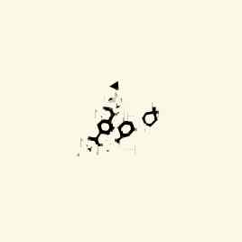 COc1ncc(-c2cc(F)c3c(Nc4cc(OC5CCC(F)(F)CC5)cc(C(=O)O)c4)c(S(=O)(=O)NC4CC4)cnc3c2)c(OC)n1